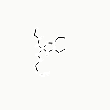 CCOO[Si](OOCC)(OOCC)OOCC.[B].[P]